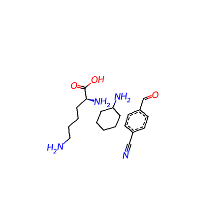 N#Cc1ccc(C=O)cc1.NC1CCCCC1.NCCCC[C@H](N)C(=O)O